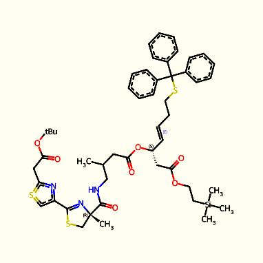 CC(CNC(=O)[C@]1(C)CSC(c2csc(CC(=O)OC(C)(C)C)n2)=N1)CC(=O)O[C@H](/C=C/CCSC(c1ccccc1)(c1ccccc1)c1ccccc1)CC(=O)OCC[Si](C)(C)C